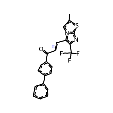 Cc1cn2c(/C=C/C(=O)c3ccc(-c4ccccc4)cc3)c(C(F)(F)F)nc2s1